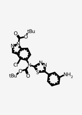 CC(C)(C)OC(=O)N(c1nnc(-c2cccc(N)c2)s1)c1ccc2c(cnn2C(=O)OC(C)(C)C)c1Cl